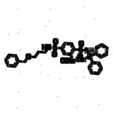 COc1cc(S(=O)(=O)NCCCOCc2ccccc2)ccc1S(=O)(=O)N[Si](c1ccccc1)(c1ccccc1)C(C)(C)C